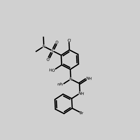 CCCN(C(=N)Nc1ccccc1Br)c1ccc(Cl)c(S(=O)(=O)N(C)C)c1O